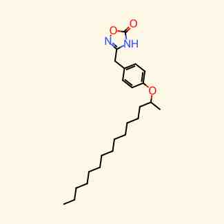 CCCCCCCCCCCCCC(C)Oc1ccc(Cc2noc(=O)[nH]2)cc1